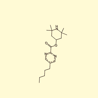 CCCCCc1cnc(C(=O)OC2CC(C)(C)NC(C)(C)C2)nc1